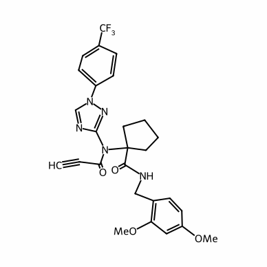 C#CC(=O)N(c1ncn(-c2ccc(C(F)(F)F)cc2)n1)C1(C(=O)NCc2ccc(OC)cc2OC)CCCC1